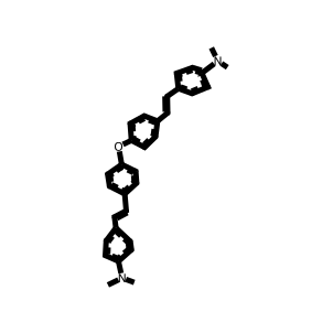 CN(C)c1ccc(/C=C/c2ccc(Oc3ccc(/C=C/c4ccc(N(C)C)cc4)cc3)cc2)cc1